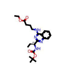 CCOC(=O)CCCNc1nc([C@H](CC)NC(=O)OC(C)(C)C)nc2ccccc12